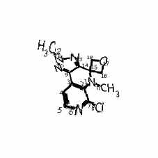 CN1c2c(ccnc2Cl)-c2nn(C)nc2C12COC2